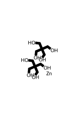 OCC(CO)(CO)CO.OCC(CO)(CO)CO.[Zn]